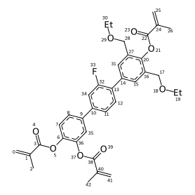 C=C(C)C(=O)Oc1ccc(-c2ccc(-c3cc(COCC)c(OC(=O)C(=C)C)c(COCC)c3)c(F)c2)cc1OC(=O)C(=C)C